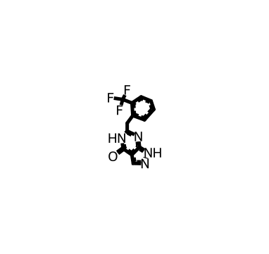 O=c1[nH]c(Cc2ccccc2C(F)(F)F)nc2[nH]ncc12